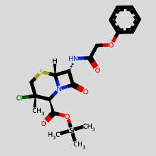 C[C@@]1(Cl)CS[C@@H]2[C@H](NC(=O)COc3ccccc3)C(=O)N2[C@H]1C(=O)O[Si](C)(C)C